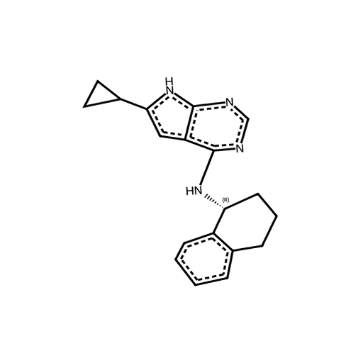 c1ccc2c(c1)CCC[C@H]2Nc1ncnc2[nH]c(C3CC3)cc12